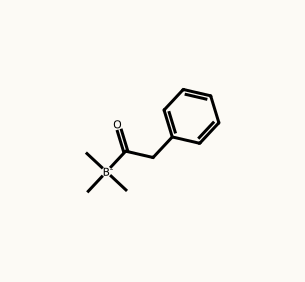 C[B-](C)(C)C(=O)Cc1ccccc1